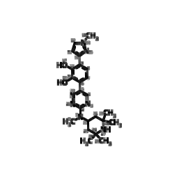 CN(c1ncc(-c2ccc(-c3ccn(C)n3)c(O)c2O)nn1)C1CC(C)(C)NC(C)(C)C1